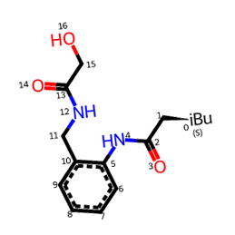 CC[C@H](C)CC(=O)Nc1ccccc1CNC(=O)CO